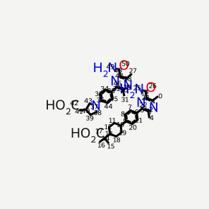 Cc1nc(C)c(-c2ccc(C3CCC(C(C)(C)C(=O)O)CC3)cc2)nc1C(N)=O.Cc1nc(C)c(-c2ccc(N3CCC(CC(=O)O)C3)cc2)nc1C(N)=O